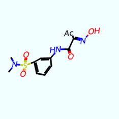 CC(=O)/C(=N\O)C(=O)Nc1cccc(S(=O)(=O)N(C)C)c1